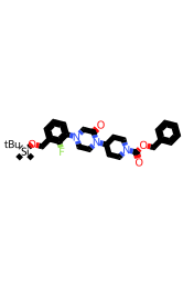 CC(C)(C)[Si](C)(C)OCc1cccc(N2CCN(C3CCN(C(=O)OCc4ccccc4)CC3)C(=O)C2)c1F